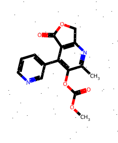 COC(=O)Oc1c(C)nc2c(c1-c1cccnc1)C(=O)OC2